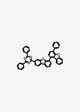 c1ccc(-c2nc(-c3ccccc3)nc(-c3ccc4c(c3)sc3c(-c5ccc(-c6ccccc6)c6oc7ccccc7c56)cccc34)n2)cc1